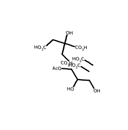 CC(=O)O.CC(=O)O.CC(=O)OCC(O)CO.O=C(O)CC(O)(CC(=O)O)C(=O)O